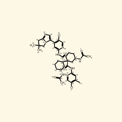 CC(=O)N[C@@H]1CCC[C@@](C(=O)Nc2cc(I)c(Cl)cn2)([C@]2(C(=O)Nc3cc(-c4cnc5n4CC(C)(C)C5)c(Cl)cn3)CCC[C@@H](NC(C)=O)C2)C1